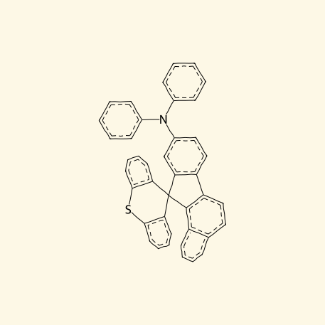 c1ccc(N(c2ccccc2)c2ccc3c(c2)C2(c4ccccc4Sc4ccccc42)c2c-3ccc3ccccc23)cc1